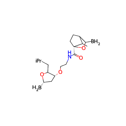 BC1O[C@@]2(C(=O)NCCO[C@@H]3C[C@H](B)OC3CC(C)C)CCC1C2C